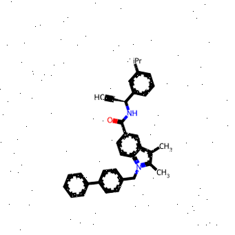 C#C[C@H](NC(=O)c1ccc2c(c1)c(C)c(C)n2Cc1ccc(-c2ccccc2)cc1)c1cccc(C(C)C)c1